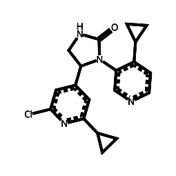 O=C1NCC(c2cc(Cl)nc(C3CC3)c2)N1c1cnccc1C1CC1